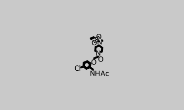 C=CS(=O)(=O)N(C)C1CCN(C(=O)COc2ccc(Cl)cc2CNC(C)=O)CC1